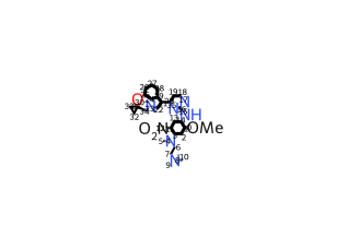 COc1cc(N(C)CCN(C)C)c([N+](=O)[O-])cc1Nc1nccc(-c2cn3c4c(cccc24)OC2(CC2)C3)n1